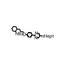 CCCCCCCc1cnc(-c2ccc(OCCCC3CCCCC3CCCC)cc2)nc1